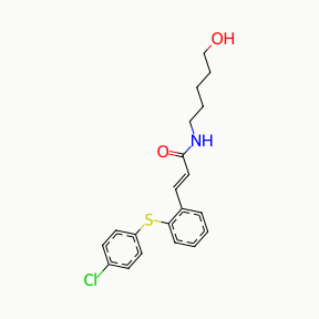 O=C(/C=C/c1ccccc1Sc1ccc(Cl)cc1)NCCCCCO